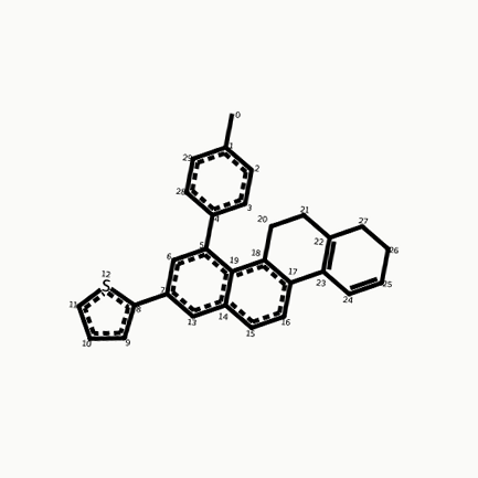 Cc1ccc(-c2cc(-c3cccs3)cc3ccc4c(c23)CCC2=C4C=CCC2)cc1